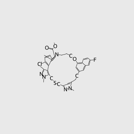 COC(=O)c1c(C)c2c3c(Cl)ccc2n1CCCOc1cc(cc2cc(F)ccc12)CCc1cc(nn1C)CSCc1c-3c(C)nn1C